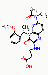 COc1ccccc1[C@H](C)n1c(=O)c(NCCC(=O)O)nc2ccc(N(C)C(C)=O)nc21